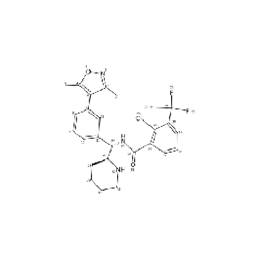 Cc1noc(C)c1-c1cccc([C@H](NC(=O)c2cccc(C(F)(F)F)c2Cl)[C@@H]2CCCCN2)c1